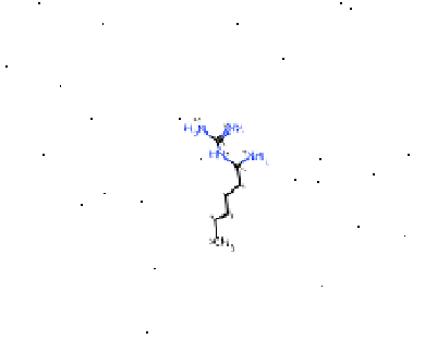 CCCCCC(N)NC(=N)N